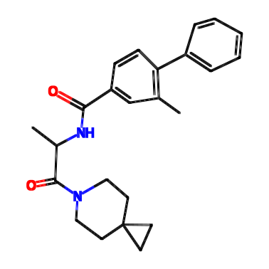 Cc1cc(C(=O)NC(C)C(=O)N2CCC3(CC2)CC3)ccc1-c1ccccc1